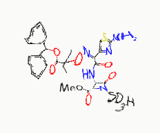 COC(=O)[C@@H]1[C@H](NC(=O)C(=NOC(C)(C)C(=O)OC(c2ccccc2)c2ccccc2)c2csc(N)n2)C(=O)N1S(=O)(=O)O